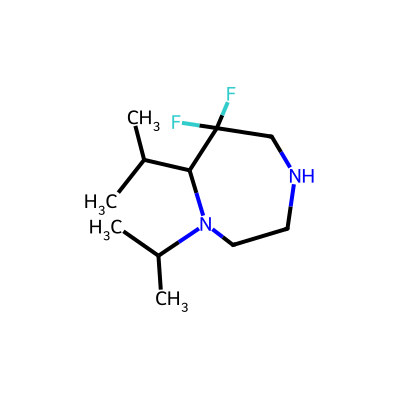 CC(C)C1N(C(C)C)CCNCC1(F)F